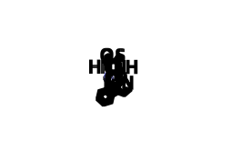 O=C1N/C(=C/n2c3ccccc3c3ccncc32)C(=O)NC1=S